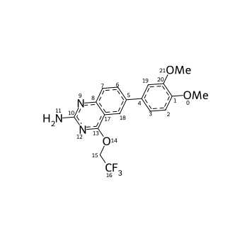 COc1ccc(-c2ccc3nc(N)nc(OCC(F)(F)F)c3c2)cc1OC